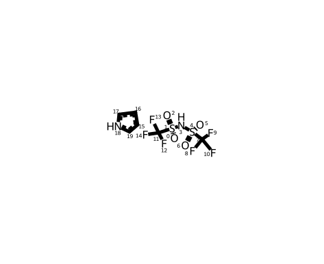 O=S(=O)(NS(=O)(=O)C(F)(F)F)C(F)(F)F.c1cc[nH]c1